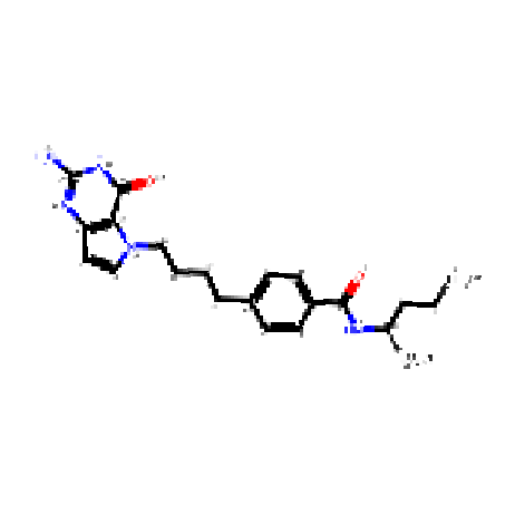 CCOC(=O)CC[C@H](NC(=O)c1ccc(CCCCn2ccc3nc(N)[nH]c(=O)c32)cc1)C(=O)OCC